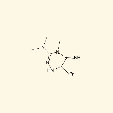 CC(C)C1NN=C(N(C)C)N(C)C1=N